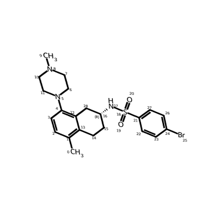 Cc1ccc(N2CCN(C)CC2)c2c1CC[C@@H](NS(=O)(=O)c1ccc(Br)cc1)C2